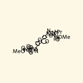 CCCN(Cc1ncc(-c2ccc3c(c2)OCCc2c-3oc3ccc(-c4cnc([C@@H]5CCCN5C(=O)[C@@H](NC(=O)OC)C(C)C)[nH]4)cc23)[nH]1)C(=O)C(NC(=O)OC)C(C)C